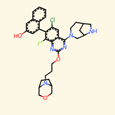 Oc1cc(-c2c(Cl)cc3c(N4CCC5CNC(C5)C4)nc(OCCCN4C5CCC4COC5)nc3c2F)c2ccccc2c1